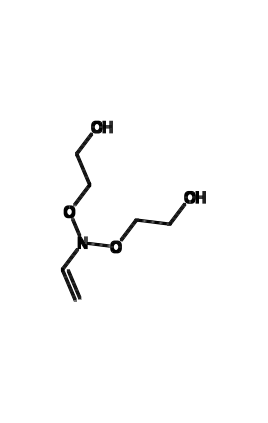 C=CN(OCCO)OCCO